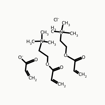 C=CC(=O)OCC[N+](C)(C)C.C=CC(=O)OCC[N+](C)(C)C.C=CC(=O)[O-].[Cl-]